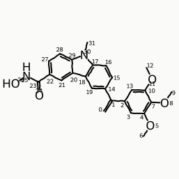 C=C(c1cc(OC)c(OC)c(OC)c1)c1ccc2c(c1)c1cc(C(=O)NO)ccc1n2C